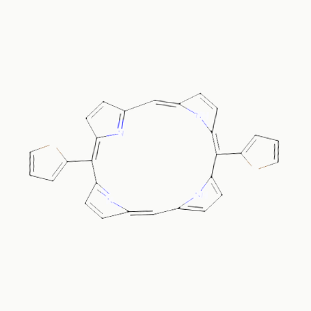 C1=Cc2nc1cc1ccc([nH]1)c(-c1cccs1)c1ccc(cc3nc(c2-c2cccs2)C=C3)[nH]1